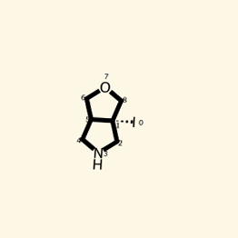 I[C@]12CNCC1COC2